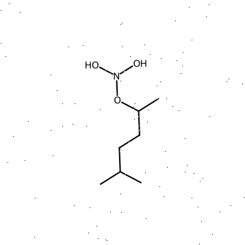 CC(C)CCC(C)ON(O)O